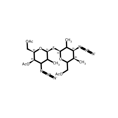 CC(=O)OCC1O[C@@H](S[C@@H]2O[C@H](COC(C)=O)[C@H](OC(C)=O)C(N=[N+]=[N-])C2C)C(C)[C@@H](N=[N+]=[N-])[C@H]1C